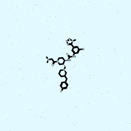 CN(C)CC(=O)N1CC[C@@H](NC(=O)Nc2cc(Br)cc(-c3nnnn3C)c2)[C@H](CN2CCCC(Cc3ccc(F)cc3)C2)C1